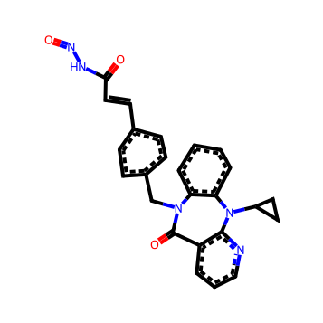 O=NNC(=O)/C=C/c1ccc(CN2C(=O)c3cccnc3N(C3CC3)c3ccccc32)cc1